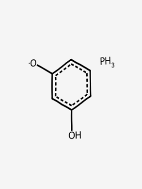 P.[O]c1cccc(O)c1